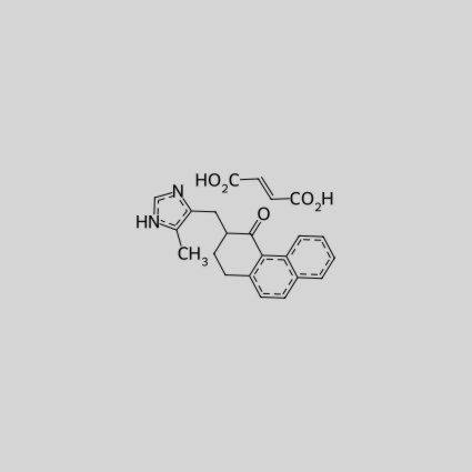 Cc1[nH]cnc1CC1CCc2ccc3ccccc3c2C1=O.O=C(O)C=CC(=O)O